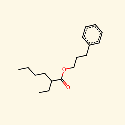 CCCCC(CC)C(=O)OCCCc1ccccc1